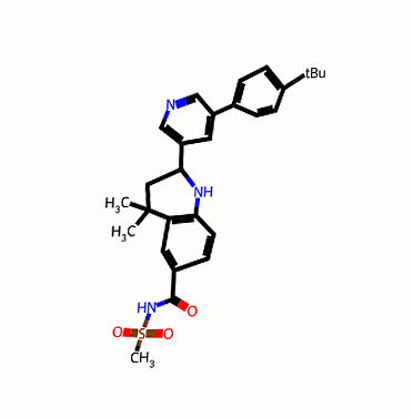 CC(C)(C)c1ccc(-c2cncc(C3CC(C)(C)c4cc(C(=O)NS(C)(=O)=O)ccc4N3)c2)cc1